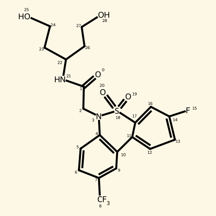 O=C(CN1c2ccc(C(F)(F)F)cc2-c2ccc(F)cc2S1(=O)=O)NC(CCO)CCO